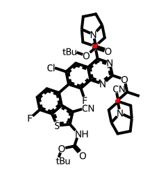 CC(CN1C2CCC1CC(C#N)C2)Oc1nc(N2CC3CCC(C2)N3C(=O)OC(C)(C)C)c2cc(Cl)c(-c3ccc(F)c4sc(NC(=O)OC(C)(C)C)c(C#N)c34)c(F)c2n1